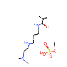 C=C(C)C(=O)NCCCNCCN(C)C.COS(=O)(=O)O